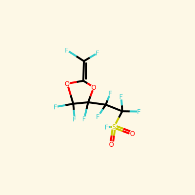 O=S(=O)(F)C(F)(F)C(F)(F)C1(F)OC(=C(F)F)OC1(F)F